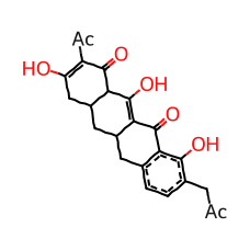 CC(=O)Cc1ccc2c(c1O)C(=O)C1=C(O)C3C(=O)C(C(C)=O)=C(O)CC3CC1C2